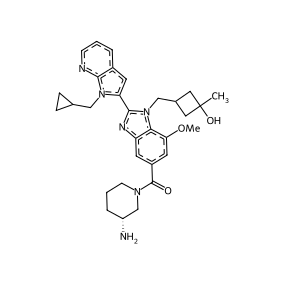 COc1cc(C(=O)N2CCC[C@@H](N)C2)cc2nc(-c3cc4cccnc4n3CC3CC3)n(CC3CC(C)(O)C3)c12